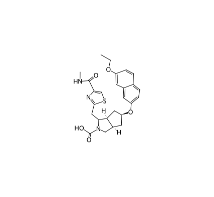 CCOc1ccc2ccc(O[C@H]3C[C@H]4CN(C(=O)O)C(Cc5nc(C(=O)NC)cs5)[C@H]4C3)cc2c1